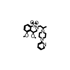 COc1cccc2c1C(OC)CN(CC(C)N1CCN(c3ccccn3)CC1)S2(=O)=O